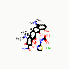 CN(C)c1ccc(O)c2c1C[C@H]1C[C@H]3[C@H](N(C)C)C(=O)C(C(N)=O)=C(O)[C@@]3(O)C(=O)C1=C2O.Cl.O=C(O)NC1=NCCS1